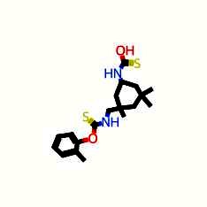 Cc1ccccc1OC(=S)NCC1(C)CC(NC(O)=S)CC(C)(C)C1